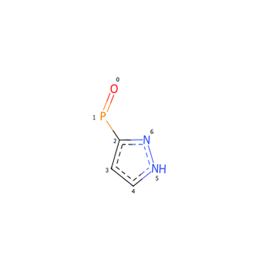 O=Pc1cc[nH]n1